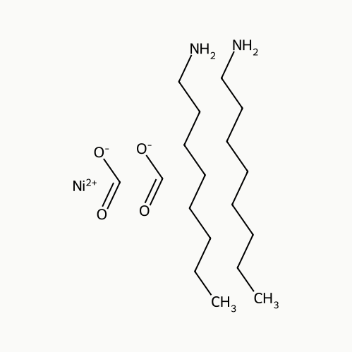 CCCCCCCCN.CCCCCCCCN.O=C[O-].O=C[O-].[Ni+2]